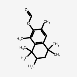 Cc1cc2c(c(C)c1OC=O)C(C)(C)C(C)CC2(C)C